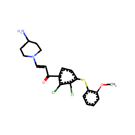 COc1ccccc1Sc1ccc(C(=O)C=CN2CCC(N)CC2)c(Cl)c1Cl